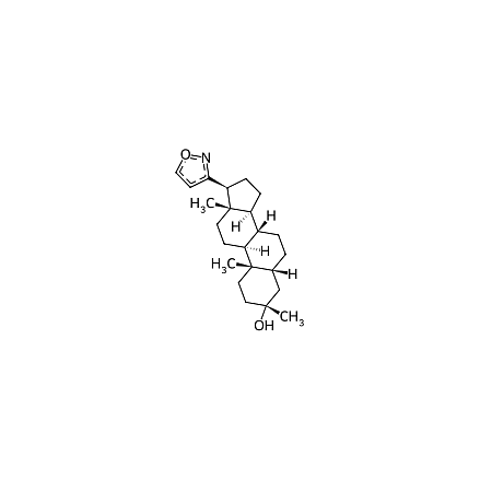 C[C@@]1(O)CC[C@@]2(C)[C@H](CC[C@@H]3[C@@H]2CC[C@]2(C)[C@@H](c4ccon4)CC[C@@H]32)C1